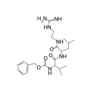 CC(C)CC(NC(=O)C(NC(=O)OCc1ccccc1)C(C)C)C(=O)NCCNC(=N)N